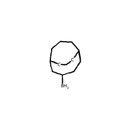 BC1CCC2CCCC(CCC2)C1